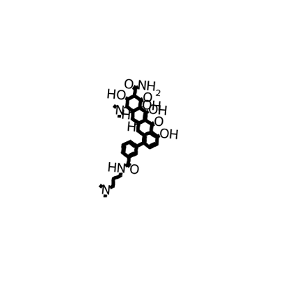 CN(C)CCCNC(=O)c1cccc(-c2ccc(O)c3c2C[C@H]2C[C@H]4[C@H](N(C)C)C(O)C(C(N)=O)C(=O)[C@@]4(O)C(O)=C2C3=O)c1